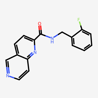 O=C(NCc1ccccc1F)c1ccc2cnccc2n1